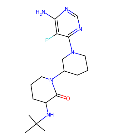 CC(C)(C)NC1CCCN(C2CCCN(c3ncnc(N)c3F)C2)C1=O